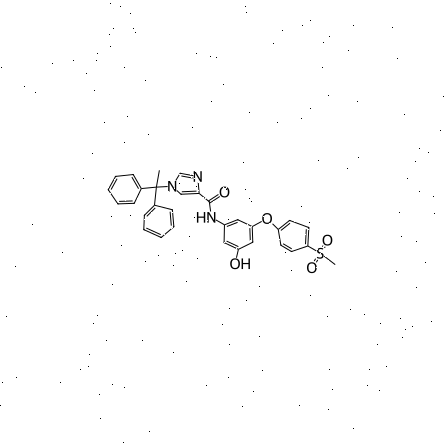 CC(c1ccccc1)(c1ccccc1)n1cnc(C(=O)Nc2cc(O)cc(Oc3ccc(S(C)(=O)=O)cc3)c2)c1